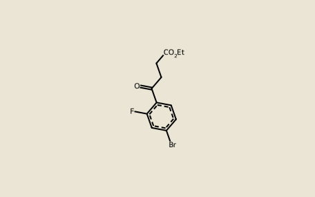 CCOC(=O)CCC(=O)c1ccc(Br)cc1F